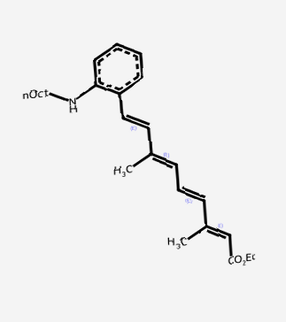 CCCCCCCCNc1ccccc1/C=C/C(C)=C/C=C/C(C)=C/C(=O)OCC